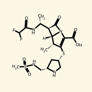 C[C@@H](NC(=O)C(F)F)[C@H]1C(=O)N2C(C(=O)O)=C(S[C@@H]3CN[C@H](CNS(C)(=O)=O)C3)[C@H](C)[C@H]12